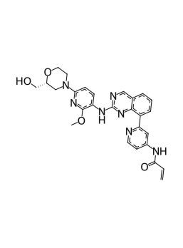 C=CC(=O)Nc1ccnc(-c2cccc3cnc(Nc4ccc(N5CCO[C@@H](CO)C5)nc4OC)nc23)c1